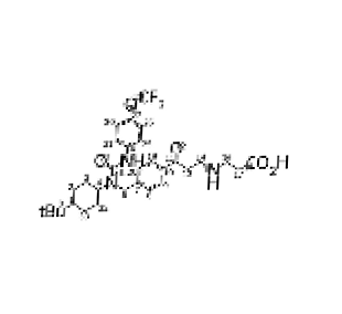 CC(C)(C)C1CCC(N(Cc2ccc(C(=O)CCNCCC(=O)O)cc2)C(=O)Nc2ccc(OC(F)(F)F)cc2)CC1